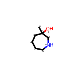 CC1(O)CCCCNC1